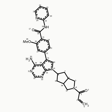 C=CC(=O)N1CC2CC(n3cc(-c4ccc(C(=O)Nc5ccccn5)c(OC)c4)c4c(N)ncnc43)CC2C1